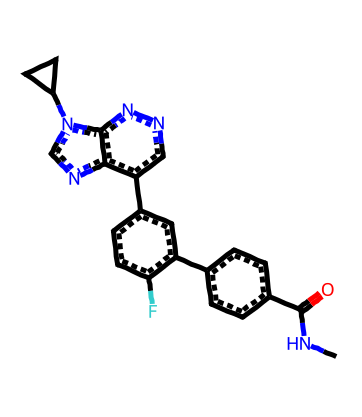 CNC(=O)c1ccc(-c2cc(-c3cnnc4c3ncn4C3CC3)ccc2F)cc1